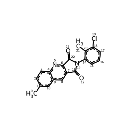 Cc1ccc2nc3c(cc2c1)C(=O)N(c1cccc(Cl)c1C)C3=O